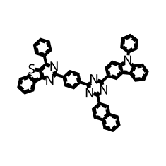 c1ccc(-c2nc(-c3ccc(-c4nc(-c5ccc6ccccc6c5)nc(-c5ccc6c(c5)c5ccccc5n6-c5ccccc5)n4)cc3)nc3c2sc2ccccc23)cc1